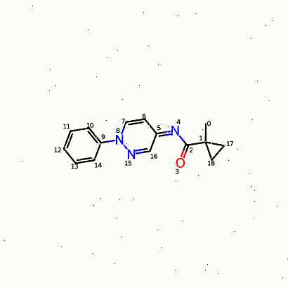 CC1(C(=O)N=c2ccn(-c3ccccc3)nc2)CC1